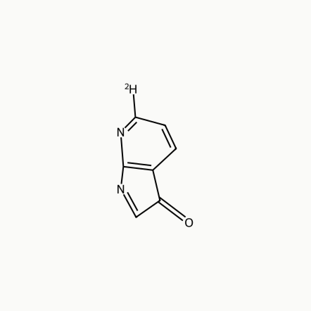 [2H]c1ccc2c(n1)N=CC2=O